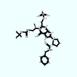 C[C@H](CNC(=O)OC(C)(C)C)n1c(COS(C)(=O)=O)nc2sc(N3CCC[C@@H]3C(=O)NCc3ccccc3)nc2c1=O